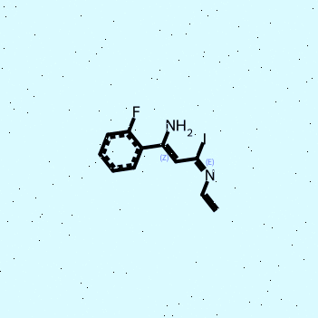 C=C/N=C(I)\C=C(/N)c1ccccc1F